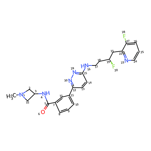 CN1CC(NC(=O)c2cccc(-c3ccc(NCC[C@H](F)Cc4ncccc4F)nn3)c2)C1